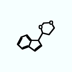 C1=CC(C2CCOCO2)c2ccccc21